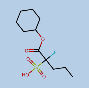 CCCC(F)(C(=O)OC1CCCCC1)S(=O)(=O)O